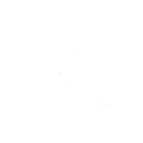 C=C(C)C(=O)OC(CC)(CC)CCO